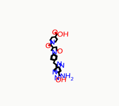 Cn1nc(Cc2ccc(N3CC(C(=O)N4CCC(C(=O)O)CC4)CC3=O)cc2)c2cnc(/C(N)=N/O)cc21